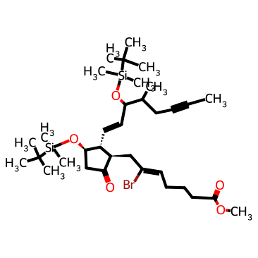 CC#CCC(C)C(/C=C/[C@H]1[C@H](O[Si](C)(C)C(C)(C)C)CC(=O)[C@@H]1C/C(Br)=C/CCCC(=O)OC)O[Si](C)(C)C(C)(C)C